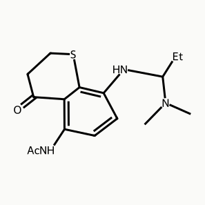 CCC(Nc1ccc(NC(C)=O)c2c1SCCC2=O)N(C)C